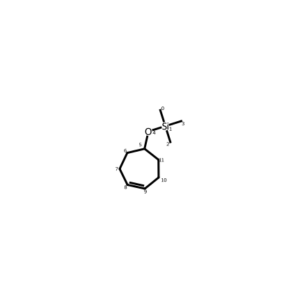 C[Si](C)(C)OC1CCC=CCC1